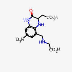 O=C(O)CNCc1cc([N+](=O)[O-])cc2c1NC(CC(=O)O)C(=O)N2